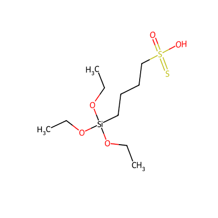 CCO[Si](CCCCS(=O)(O)=S)(OCC)OCC